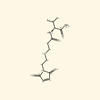 CC(C)[C@H](NC(=O)CCOCCN1C(=O)C=CC1=O)C(N)=O